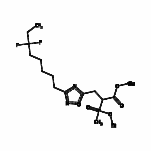 CCOP(C)(=O)C(Cc1nc(CCCCCC(F)(F)CC(F)(F)F)no1)C(=O)OC(C)(C)C